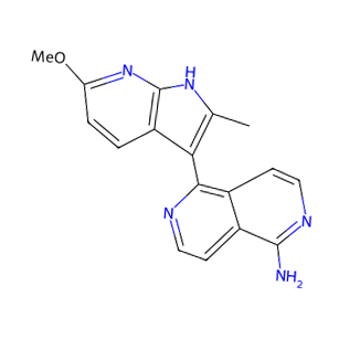 COc1ccc2c(-c3nccc4c(N)nccc34)c(C)[nH]c2n1